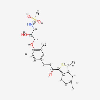 CCc1cc(CCC(=O)c2sc(CC)c3c2CCC(C)(C)C3)cc(C)c1OCC(O)CNS(=O)(=O)CC